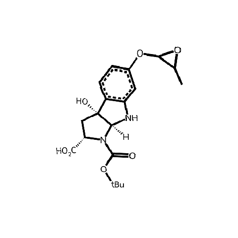 CC1OC1Oc1ccc2c(c1)N[C@H]1N(C(=O)OC(C)(C)C)[C@H](C(=O)O)C[C@@]21O